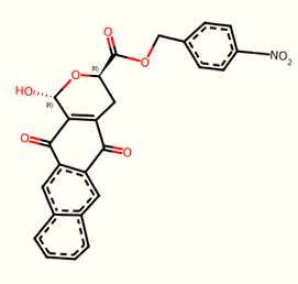 O=C1C2=C(C(=O)c3cc4ccccc4cc31)[C@H](O)O[C@@H](C(=O)OCc1ccc([N+](=O)[O-])cc1)C2